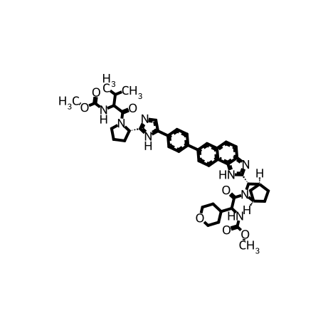 COC(=O)NC(C(=O)N1CCC[C@H]1c1ncc(-c2ccc(-c3ccc4c(ccc5nc([C@@H]6[C@H]7CC[C@H](C7)N6C(=O)C(NC(=O)OC)C6CCOCC6)[nH]c54)c3)cc2)[nH]1)C(C)C